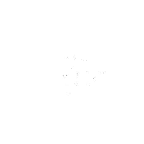 Cc1ccc(S(=O)(=O)OP(OS(=O)(=O)c2ccc(C)cc2)OS(=O)(=O)c2ccc(C)cc2)cc1